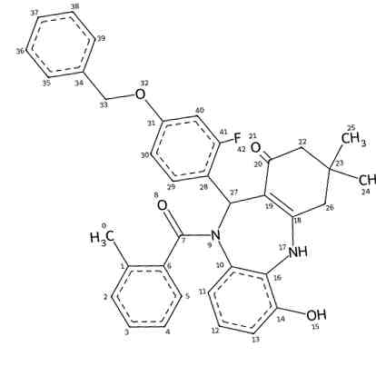 Cc1ccccc1C(=O)N1c2cccc(O)c2NC2=C(C(=O)CC(C)(C)C2)C1c1ccc(OCc2ccccc2)cc1F